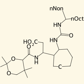 CCCCCCCCCC(CCCCCCCC)NC(=O)NC1CCCCCC1C(CC(=O)O)NC(=O)C1OC(C)(C)OCC1(C)C